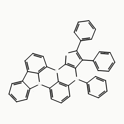 c1ccc(-c2oc3c(c2-c2ccccc2)N(c2ccccc2)c2cccc4c2B3c2cccc3c5ccccc5n-4c23)cc1